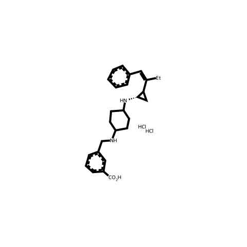 CCC(=Cc1ccccc1)C1C[C@@H]1NC1CCC(NCc2cccc(C(=O)O)c2)CC1.Cl.Cl